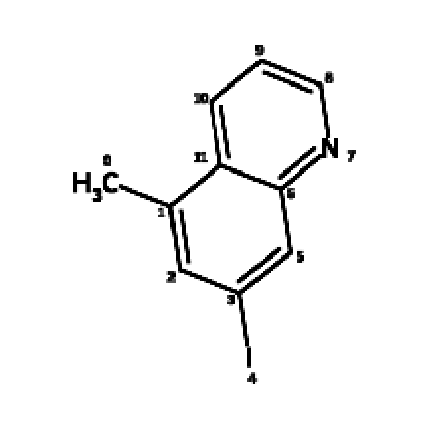 Cc1cc(I)cc2ncccc12